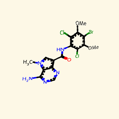 COc1c(Cl)c(NC(=O)c2cn(C)c3c(N)ncnc23)c(Cl)c(OC)c1Br